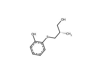 C[C@@H](CO)CSc1ccccc1O